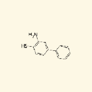 Nc1cc(-c2ccccc2)ccc1S